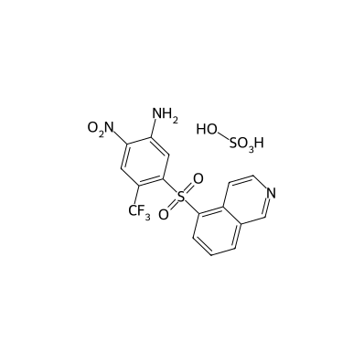 Nc1cc(S(=O)(=O)c2cccc3cnccc23)c(C(F)(F)F)cc1[N+](=O)[O-].O=S(=O)(O)O